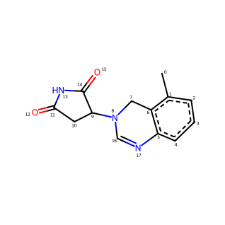 Cc1cccc2c1CN(C1CC(=O)NC1=O)C=N2